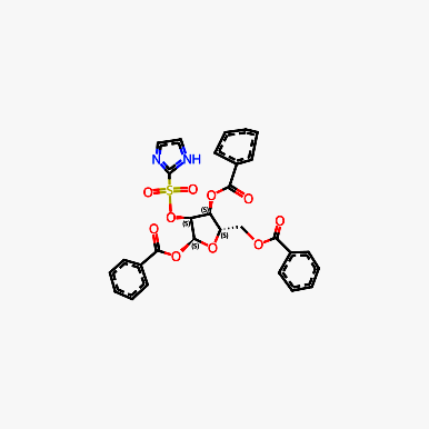 O=C(OC[C@@H]1O[C@@H](OC(=O)c2ccccc2)[C@@H](OS(=O)(=O)c2ncc[nH]2)[C@H]1OC(=O)c1ccccc1)c1ccccc1